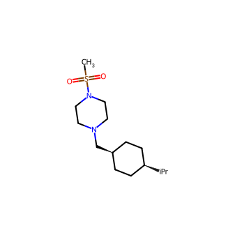 CC(C)[C@H]1CC[C@@H](CN2CCN(S(C)(=O)=O)CC2)CC1